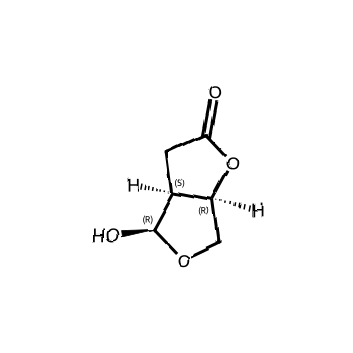 O=C1C[C@@H]2[C@H](O)OC[C@@H]2O1